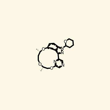 C[C@H]1COc2cncc(n2)-c2nn(C3CCCCO3)c3ccc(cc23)O[C@@H](C)CCO1